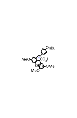 CCCCOc1ccc(/C=C/c2cc(OC)cc(OC)c2C(C(=O)O)c2cc(OC)cc(OC)c2)cc1